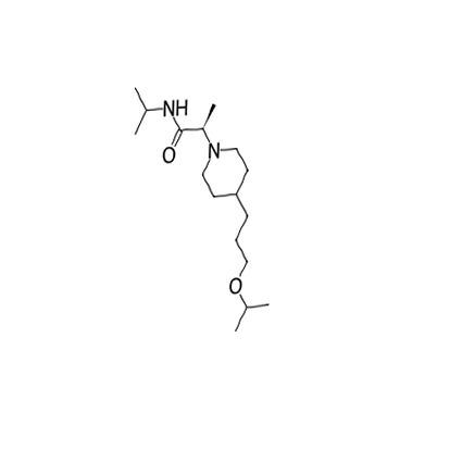 CC(C)NC(=O)[C@@H](C)N1CCC(CCCOC(C)C)CC1